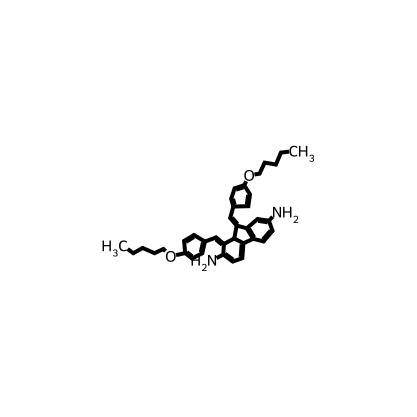 CCCCCOc1ccc(C=C2C(N)=CC=C3c4ccc(N)cc4C(=Cc4ccc(OCCCCC)cc4)C23)cc1